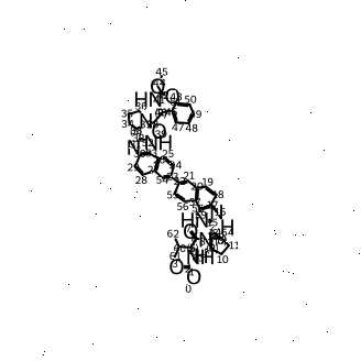 COC(=O)N[C@H](C(=O)N1[C@@H]2CC[C@@H](C2)[C@H]1c1nc2ccc3cc(-c4ccc5c(ccc6nc([C@@H]7CCCN7C(=O)[C@H](NC(=O)OC)c7ccccc7)[nH]c65)c4)ccc3c2[nH]1)C(C)C